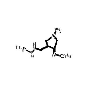 CN=C1CN(P)CC1CNPP